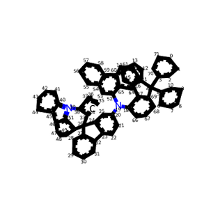 c1ccc(C2(c3ccccc3)c3ccccc3-c3c(N(c4ccc5c(c4)C4(c6ccccc6-5)c5ccccc5-n5c6ccccc6c6cccc4c65)c4cc5ccccc5c5ccccc45)cccc32)cc1